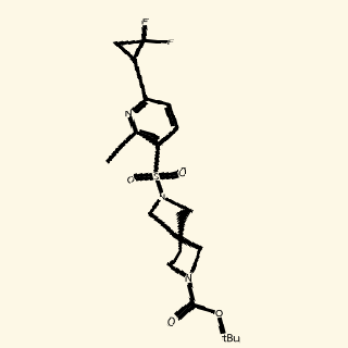 Cc1nc(C2CC2(F)F)ccc1S(=O)(=O)N1CC2(CN(C(=O)OC(C)(C)C)C2)C1